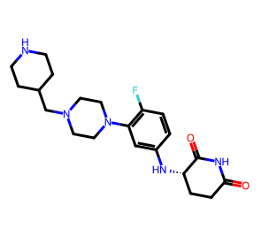 O=C1CC[C@H](Nc2ccc(F)c(N3CCN(CC4CCNCC4)CC3)c2)C(=O)N1